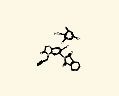 C#CCN1C(=O)COc2cc(F)c(N3C(=O)C4=C(CCCC4)C3=O)cc21.N#Cc1cc(I)c(O)c(I)c1